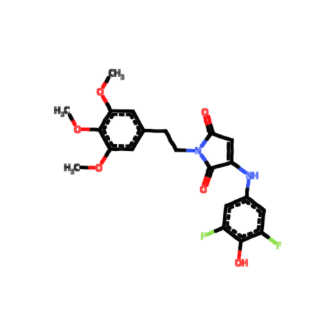 COc1cc(CCN2C(=O)C=C(Nc3cc(F)c(O)c(F)c3)C2=O)cc(OC)c1OC